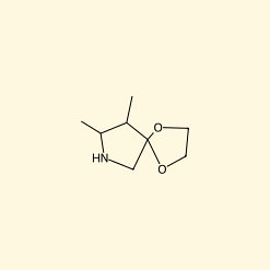 CC1NCC2(OCCO2)C1C